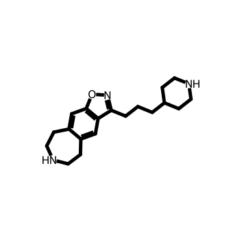 c1c2c(cc3c(CCCC4CCNCC4)noc13)CCNCC2